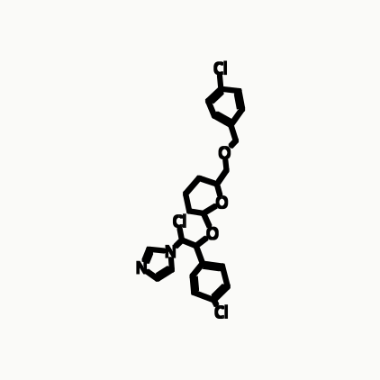 Clc1ccc(COCC2CCCC(OC(c3ccc(Cl)cc3)C(Cl)n3ccnc3)O2)cc1